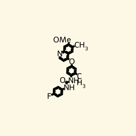 COc1cc2nccc(Oc3ccc(NC(=O)Nc4ccc(F)cc4)c(C)c3)c2cc1C